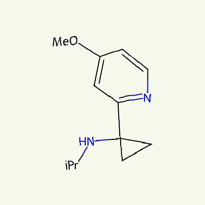 COc1ccnc(C2(NC(C)C)CC2)c1